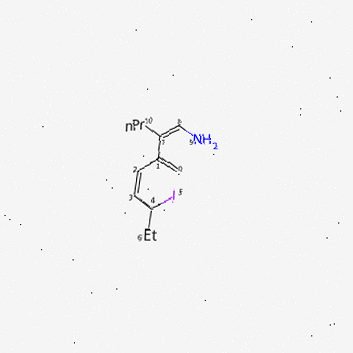 C=C(/C=C\C(I)CC)/C(=C\N)CCC